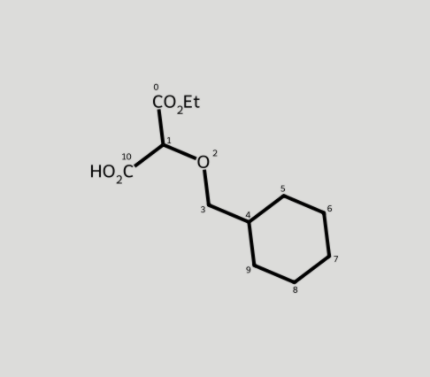 CCOC(=O)C(OCC1CCCCC1)C(=O)O